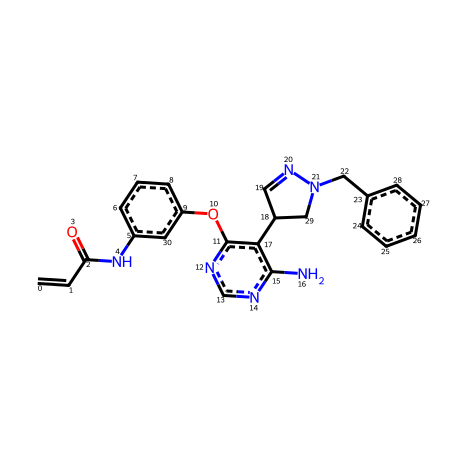 C=CC(=O)Nc1cccc(Oc2ncnc(N)c2C2C=NN(Cc3ccccc3)C2)c1